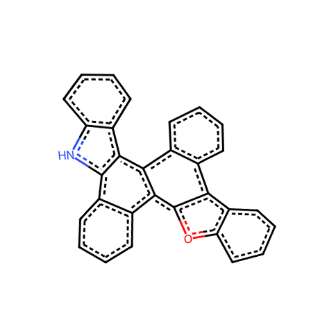 c1ccc2c(c1)[nH]c1c3ccccc3c3c4oc5ccccc5c4c4ccccc4c3c21